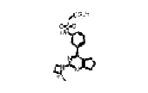 C[C@H]1CCN1c1nc2c(c(-c3cccc(NS(=O)(=O)CC(=O)O)c3)n1)CCC2